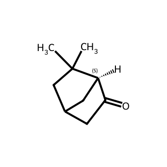 CC1(C)CC2CC(=O)[C@H]1C2